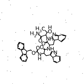 CC(O)C(NC(=O)C(CC1CN=C2C=CC=CC21)NC(=O)C(CC1=CN=C2C=CC=CC12)NC(=O)OCC1c2ccccc2-c2ccccc21)C(N)=O